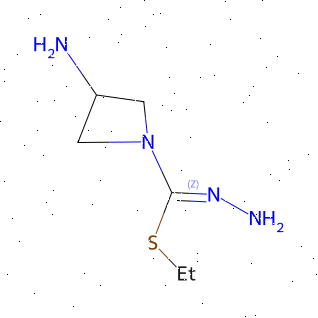 CCS/C(=N\N)N1CC(N)C1